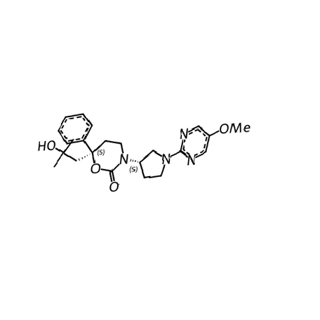 COc1cnc(N2CC[C@H](N3CC[C@](CC(C)(C)O)(c4ccccc4)OC3=O)C2)nc1